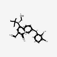 CC(C)(C)[C@@H](CO)c1cc(C=O)c(=O)n2cc(Cc3cccc(I)c3F)ccc12